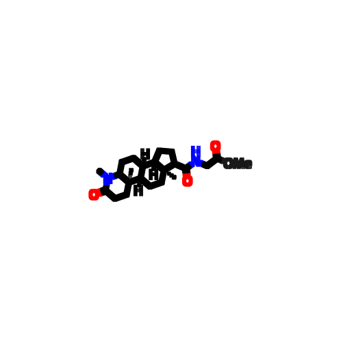 COC(=O)CNC(=O)C1CC[C@H]2[C@@H]3CCC4N(C)C(=O)CC[C@]4(C)[C@@H]3CC[C@]12C